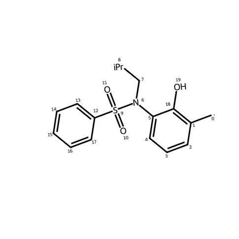 [CH2]c1cccc(N(CC(C)C)S(=O)(=O)c2ccccc2)c1O